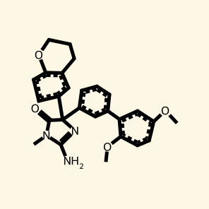 COc1ccc(OC)c(-c2cccc(C3(c4ccc5c(c4)CCCO5)N=C(N)N(C)C3=O)c2)c1